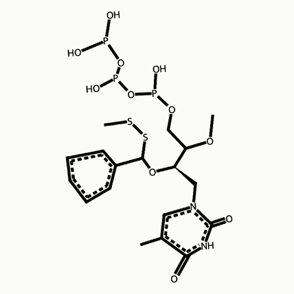 COC(COP(O)OP(O)OP(O)O)[C@@H](Cn1cc(C)c(=O)[nH]c1=O)OC(SSC)c1ccccc1